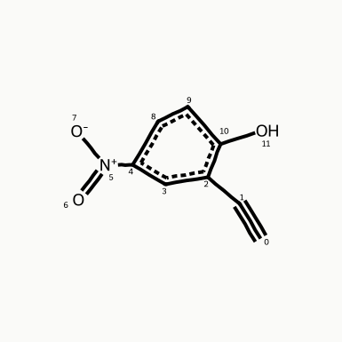 C#Cc1cc([N+](=O)[O-])ccc1O